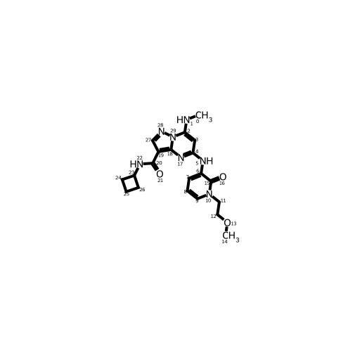 CNc1cc(Nc2cccn(CCOC)c2=O)nc2c(C(=O)NC3CCC3)cnn12